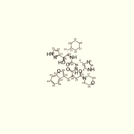 O=C(N[C@@H](Cc1c[nH]cn1)C(=O)N[C@@H](CC1CCCCC1)[C@@H](O)c1cc[nH]n1)[C@@H](CC(=O)N1CCOCC1)Cc1coc2ccccc12